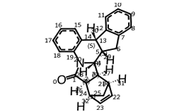 O=C1[C@H]2[C@@H]([C@H]3[C@H]4Cc5ccccc5[C@H]4c4ccccc4N13)[C@H]1C=C[C@@H]2C1